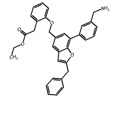 CCOC(=O)Cc1ccccc1OCc1cc(-c2cccc(CN)c2)c2oc(Cc3ccccc3)cc2c1